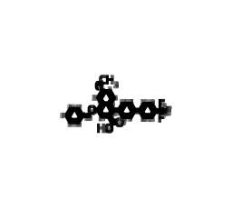 COc1ccc2c(-c3ccc(-c4ccc(C(F)(F)F)cc4)cc3)c(C(=O)O)cc(OCc3ccccc3)c2c1